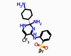 CC(C)S(=O)(=O)c1ccccc1NC1=NC(N)([C@H]2CC[C@H](N)CC2)NC=C1C(F)(F)F